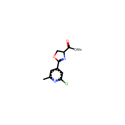 COC(=O)C1COC(c2cc(C)nc(Cl)c2)=N1